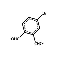 O=[C]c1ccc(Br)cc1[C]=O